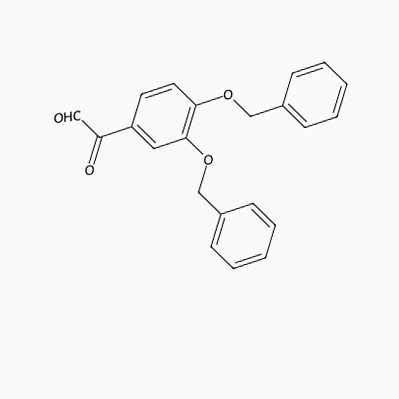 O=CC(=O)c1ccc(OCc2ccccc2)c(OCc2ccccc2)c1